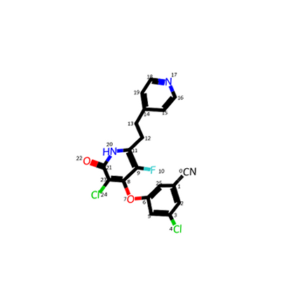 N#Cc1cc(Cl)cc(Oc2c(F)c(CCc3ccncc3)[nH]c(=O)c2Cl)c1